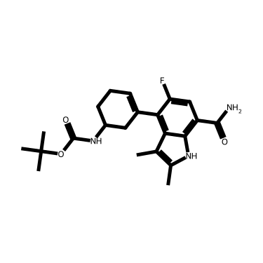 Cc1[nH]c2c(C(N)=O)cc(F)c(C3=CCCC(NC(=O)OC(C)(C)C)C3)c2c1C